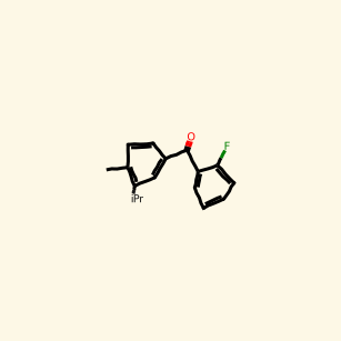 Cc1ccc(C(=O)c2ccccc2F)cc1C(C)C